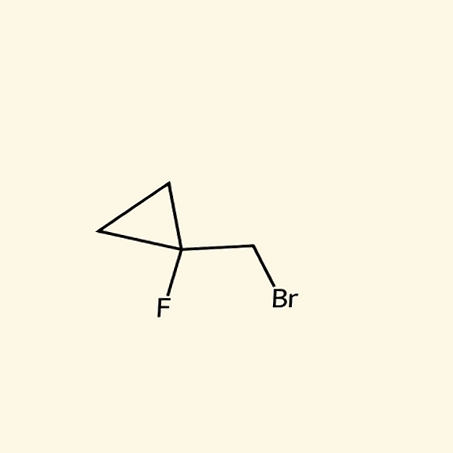 FC1(CBr)CC1